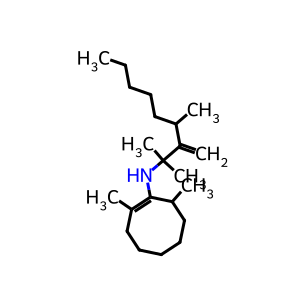 C=C(C(C)CCCCC)C(C)(C)N/C1=C(\C)CCCCCC1C